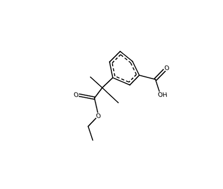 CCOC(=O)C(C)(C)c1cccc(C(=O)O)c1